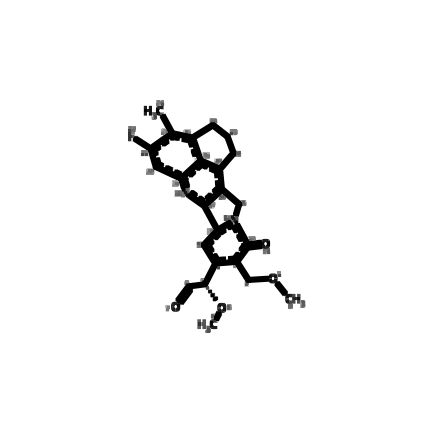 COCc1c([C@@H](C=O)OC)cc2n(c1=O)Cc1c-2nc2cc(F)c(C)c3c2c1CCC3